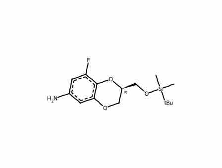 CC(C)(C)[Si](C)(C)OC[C@H]1COc2cc(N)cc(F)c2O1